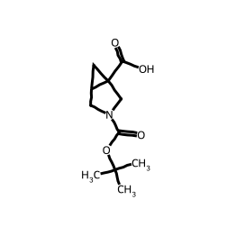 CC(C)(C)OC(=O)N1CC2CC2(C(=O)O)C1